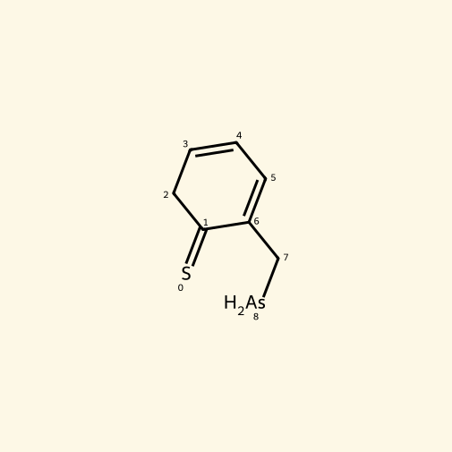 S=C1CC=CC=C1C[AsH2]